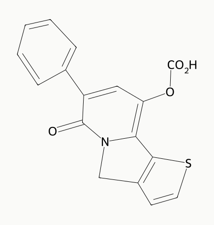 O=C(O)Oc1cc(-c2ccccc2)c(=O)n2c1-c1sccc1C2